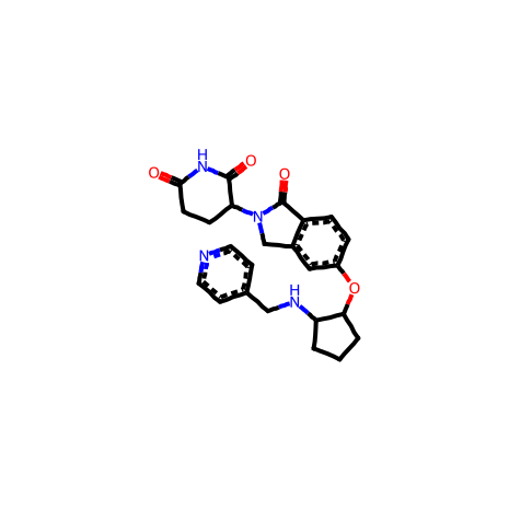 O=C1CCC(N2Cc3cc(OC4CCCC4NCc4ccncc4)ccc3C2=O)C(=O)N1